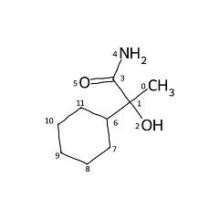 CC(O)(C(N)=O)C1CCCCC1